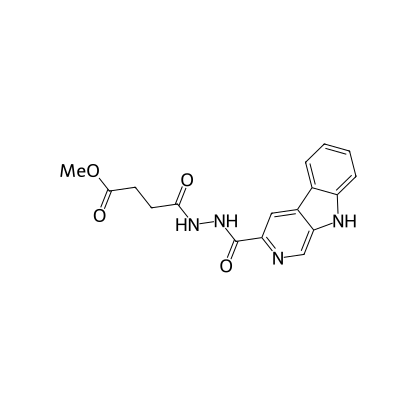 COC(=O)CCC(=O)NNC(=O)c1cc2c(cn1)[nH]c1ccccc12